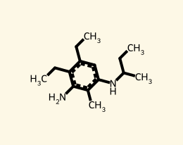 CCc1cc(NC(C)CC)c(C)c(N)c1CC